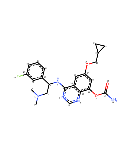 CN(C)CC(Nc1ncnc2c(OC(N)=O)cc(OCC3CC3)cc12)c1cccc(F)c1